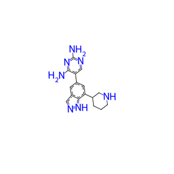 Nc1ncc(-c2cc(C3CCCNC3)c3[nH]ncc3c2)c(N)n1